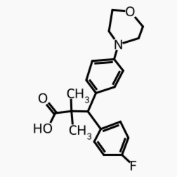 CC(C)(C(=O)O)C(c1ccc(F)cc1)c1ccc(N2CCOCC2)cc1